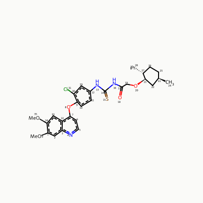 COc1cc2nccc(Oc3ccc(NC(=S)NC(=O)CO[C@@H]4C[C@H](C)CC[C@H]4C(C)C)cc3Cl)c2cc1OC